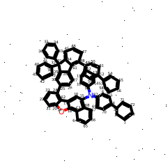 C1=CCC(c2ccc(N(c3ccccc3)c3cc4c(oc5cccc(-c6ccc7c(c6)C(c6ccccc6)(c6ccccc6)c6cccc(-c8ccc(-c9ccccc9)cc8)c6-7)c54)c4ccccc34)cc2)C=C1